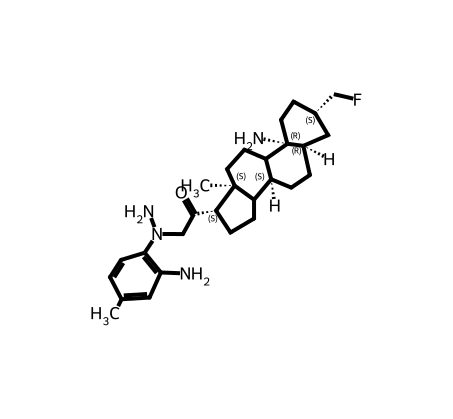 Cc1ccc(N(N)CC(=O)[C@H]2CCC3[C@@H]4CC[C@@H]5C[C@@H](CF)CC[C@]5(N)C4CC[C@@]32C)c(N)c1